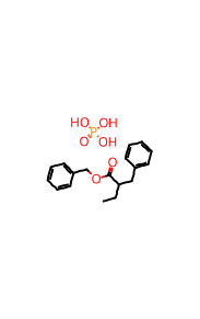 CCC(Cc1ccccc1)C(=O)OCc1ccccc1.O=P(O)(O)O